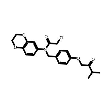 CC(C)C(=O)COc1ccc(CN(C(=O)CCl)c2ccc3c(c2)OCCO3)cc1